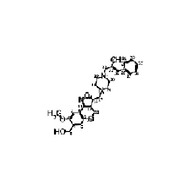 COc1cc2c(cc1CO)OCC1C2=NOC1CN1CCN(CC(C)=Cc2ccccc2)CC1